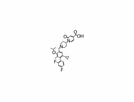 Cc1c(OC(C)C)c(CN2CCC(n3ccc(C(=O)O)cc3=O)CC2)cc(C2CC2)c1-c1ccc(F)cc1F